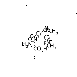 Cn1ncc(-c2ccc3c(c2)CN(C(CCC(=O)O)C(N)=O)C3=O)c1-c1ccc(C(C)(F)F)cc1